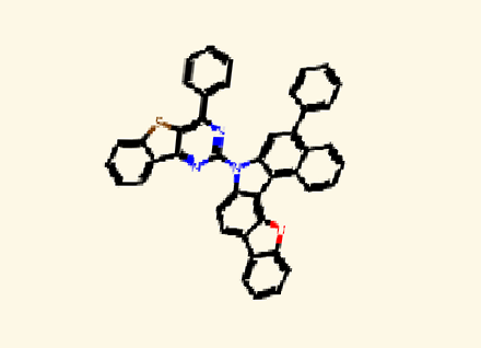 c1ccc(-c2cc3c(c4ccccc24)c2c4oc5ccccc5c4ccc2n3-c2nc(-c3ccccc3)c3sc4ccccc4c3n2)cc1